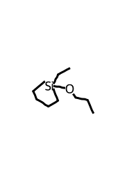 CCCO[Si]1(CC)CCCCC1